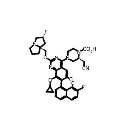 N#CC[C@H]1CN(c2nc(OC[C@@]34CCCN3C[C@H](F)C4)nc3c(OC4CC4)c(-c4cccc5ccc(F)c(Cl)c45)c(Cl)cc23)CCN1C(=O)O